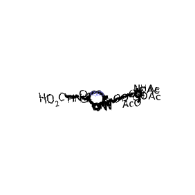 C=C1/C=C\C=C/CC(OC(=O)NCCCCCC(=O)O)Cc2ccccc2-c2nnn(CCOCCOCCO[C@@H]3OC(COC(C)=O)[C@H](OC(C)=O)[C@H](OC(C)=O)C3NC(C)=O)c21